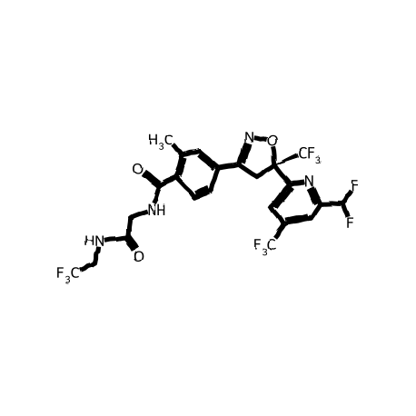 Cc1cc(C2=NO[C@@](c3cc(C(F)(F)F)cc(C(F)F)n3)(C(F)(F)F)C2)ccc1C(=O)NCC(=O)NCC(F)(F)F